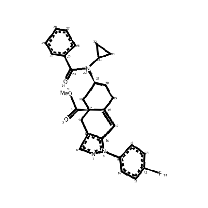 COC(=O)[C@]12Cc3cnn(-c4ccc(F)cc4)c3C=C1CC[C@H](N(C(=O)c1ccccc1)C1CC1)C2